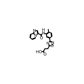 Cc1ccc(-c2noc(CCC(=O)O)n2)cc1NC(=O)c1cnc2ccccn12